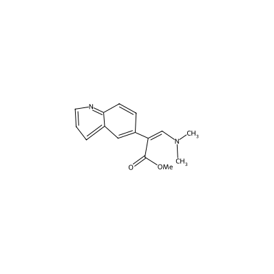 COC(=O)/C(=C\N(C)C)c1ccc2ncccc2c1